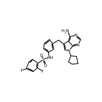 Nc1ncnc2c1c(Cc1cccc(NS(=O)(=O)c3ccc(F)cc3F)c1)cn2C1CCCC1